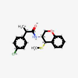 CS[C@@H]1c2ccccc2OC[C@H]1NC(=O)C(C)c1ccc(Cl)cc1